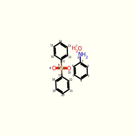 Nc1ccccc1.O.O=S(=O)(c1ccccc1)c1ccccc1